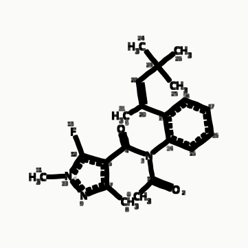 CC(=O)N(C(=O)c1c(C)nn(C)c1F)c1ccccc1/C(C)=C\C(C)(C)C